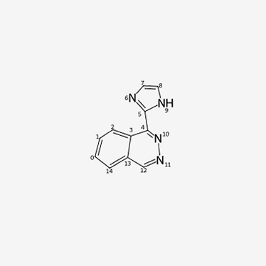 c1ccc2c(-c3ncc[nH]3)nncc2c1